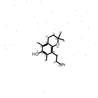 Cc1c(O)c(C)c2c(c1CCC(C)C)OC(C)(C)CC2